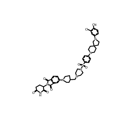 N#Cc1ccc(N2CCC3(CCN(c4ccc(S(=O)(=O)N5CCN(CC6CCN(c7ccc8c(c7)C(=O)N(C7CCC(=O)NC7=O)C8=O)CC6)CC5)cc4)CC3)C2)cc1Cl